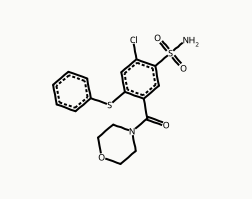 NS(=O)(=O)c1cc(C(=O)N2CCOCC2)c(Sc2ccccc2)cc1Cl